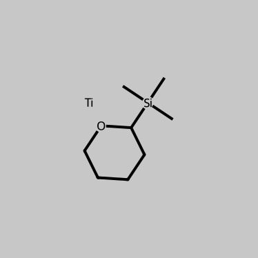 C[Si](C)(C)C1CCCCO1.[Ti]